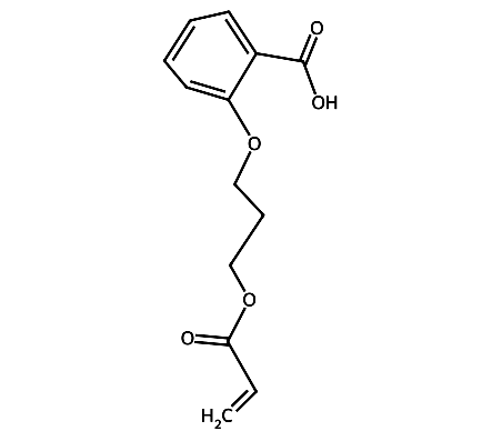 C=CC(=O)OCCCOc1ccccc1C(=O)O